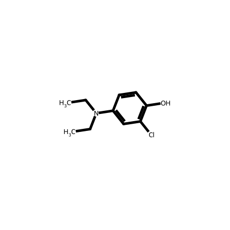 CCN(CC)c1ccc(O)c(Cl)c1